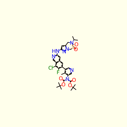 Cc1c(-c2cc3cc(Nc4cc5n(n4)CS(=O)(=O)N(C(C)C)C5)ncc3c(Cl)c2F)cncc1N(C(=O)OC(C)(C)C)C(=O)OC(C)(C)C